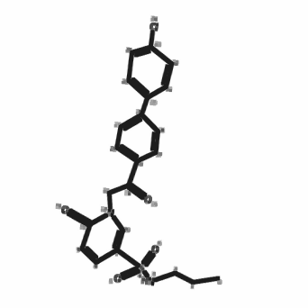 CCCNS(=O)(=O)c1ccc(=O)n(CC(=O)c2ccc(-c3ccc(Cl)cc3)cc2)c1